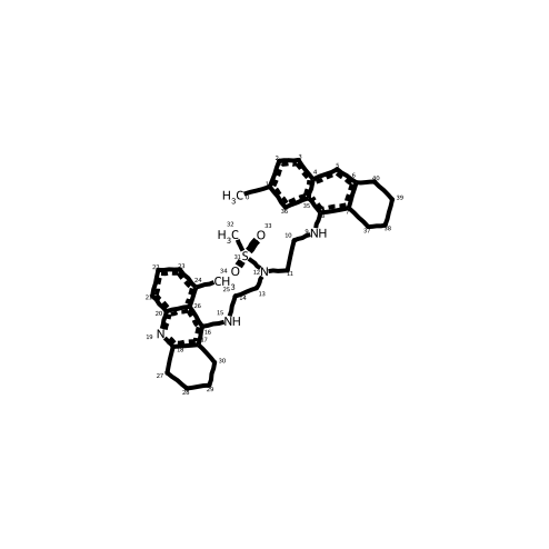 Cc1ccc2cc3c(c(NCCN(CCNc4c5c(nc6cccc(C)c46)CCCC5)S(C)(=O)=O)c2c1)CCCC3